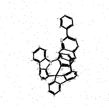 c1ccc(-c2ccc3cc(-c4cccc5c4C4(c6ccccc6-5)c5ccccc5-n5c6ccccc6c6cccc4c65)ccc3n2)cc1